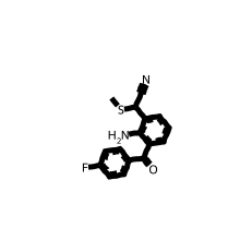 CSC(C#N)c1cccc(C(=O)c2ccc(F)cc2)c1N